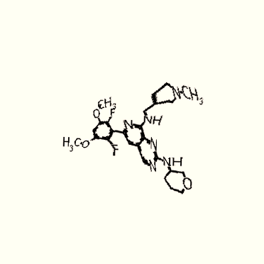 COc1cc(OC)c(F)c(-c2cc3cnc(NC4CCCOC4)nc3c(NCC3CCN(C)C3)n2)c1F